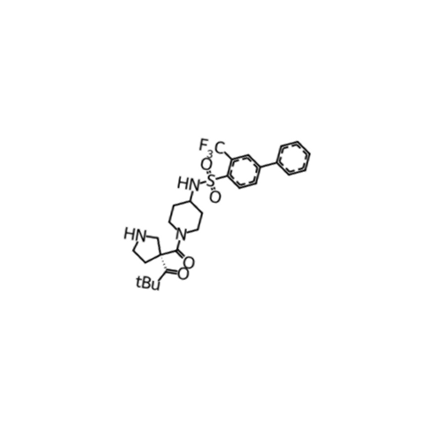 CC(C)(C)C(=O)[C@]1(C(=O)N2CCC(NS(=O)(=O)c3ccc(-c4ccccc4)cc3C(F)(F)F)CC2)CCNC1